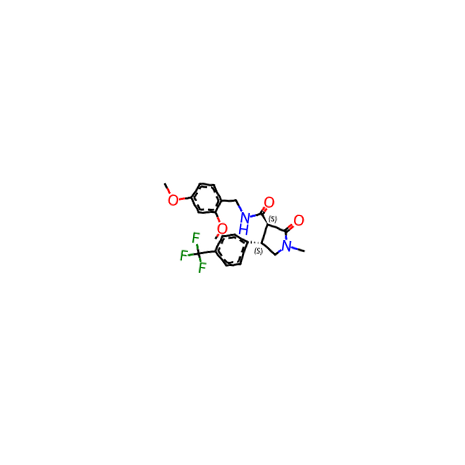 COc1ccc(CNC(=O)[C@H]2C(=O)N(C)C[C@@H]2c2ccc(C(F)(F)F)cc2)c(OC)c1